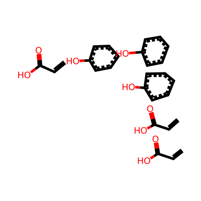 C=CC(=O)O.C=CC(=O)O.C=CC(=O)O.Oc1ccccc1.Oc1ccccc1.Oc1ccccc1